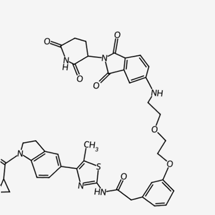 Cc1sc(NC(=O)Cc2cccc(OCCOCCNc3ccc4c(c3)C(=O)N(C3CCC(=O)NC3=O)C4=O)c2)nc1-c1ccc2c(c1)CCN2C(=O)C1CC1